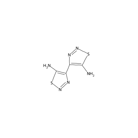 Nc1snnc1-c1nnsc1N